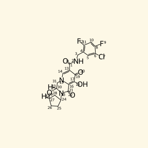 O=C(NCc1cc(Cl)c(F)cc1F)c1cn2c(c(O)c1=O)C(=O)N1C3CC[C@@H](C3)O[C@@H]1C2